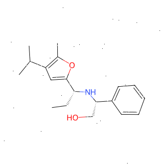 CC[C@@H](N[C@@H](CO)c1ccccc1)c1cc(C(C)C)c(C)o1